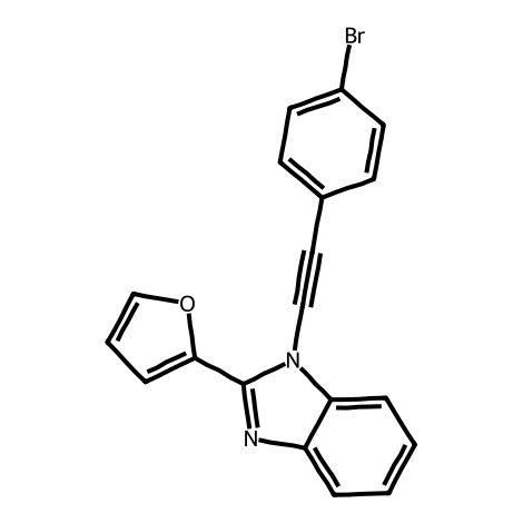 Brc1ccc(C#Cn2c(-c3ccco3)nc3ccccc32)cc1